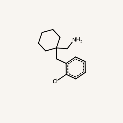 NCC1(Cc2ccccc2Cl)CCCCC1